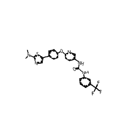 CN(C)c1ncc(-c2ccc(Oc3ccc(NC(=O)Nc4cccc(C(F)(F)F)c4)cn3)cc2)s1